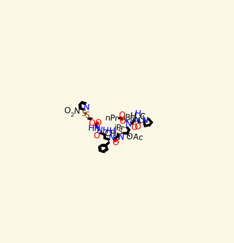 CCCC(=O)OCN(C(=O)[C@@H](NC(=O)[C@H]1CCCCN1C)C(C)CC)[C@H](C[C@@H](OC(C)=O)c1nc(C(=O)N[C@@H](Cc2ccccc2)C[C@H](C)C(=O)NNC(=O)OCCSSc2ncccc2[N+](=O)[O-])cs1)C(C)C